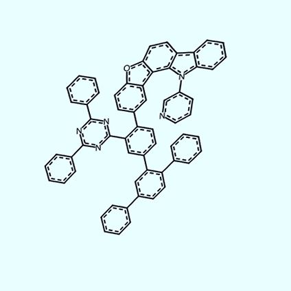 c1ccc(-c2ccc(-c3ccccc3)c(-c3ccc(-c4ccc5oc6ccc7c8ccccc8n(-c8cccnc8)c7c6c5c4)c(-c4nc(-c5ccccc5)nc(-c5ccccc5)n4)c3)c2)cc1